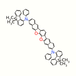 C[Si]1(C)c2ccccc2-c2c(N(c3ccccc3)c3ccc4cc5c(cc4c3)oc3c5ccc4c5cc6ccc(N(c7ccccc7)c7cccc8c7-c7ccccc7[Si]8(C)C)cc6cc5oc43)cccc21